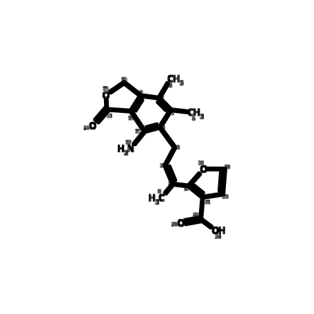 CC(=CCc1c(C)c(C)c2c(c1N)C(=O)OC2)c1occc1C(=O)O